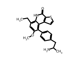 CCc1cc(OC)c(-c2ccc(CC(C)N)cc2)c2c1[nH]c(=O)c1sccc12